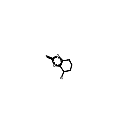 O=c1oc2c(o1)C(Br)CCC2